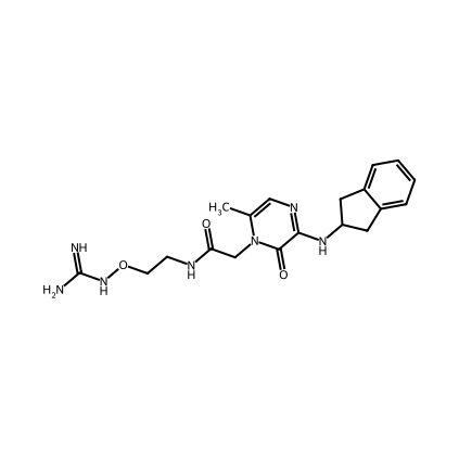 Cc1cnc(NC2Cc3ccccc3C2)c(=O)n1CC(=O)NCCONC(=N)N